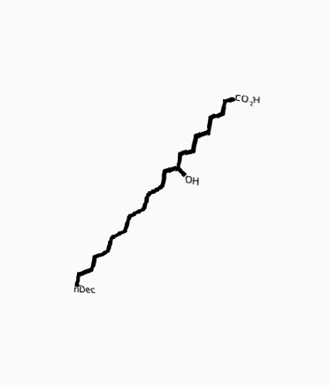 CCCCCCCCCCCCCCCCCCCCCC(O)CCCCCCCC(=O)O